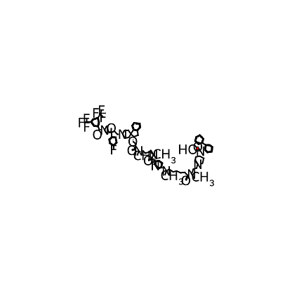 CN(CCN1CCC(N(C(=O)O)c2ccccc2-c2ccccc2)CC1)C(=O)CCCCCN(C)c1ccc(C(=O)N(C)CCCN(C)C(=O)CO[C@H]2Cc3ccccc3C23CCN(CC[C@@]2(c4ccc(F)cc4)CN(C(=O)c4cc(C(F)(F)F)cc(C(F)(F)F)c4)CO2)CC3)nc1